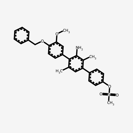 COc1cc(-c2c(C)cc(-c3ccc(OS(C)(=O)=O)cc3)c(C)c2N)ccc1OCc1ccccc1